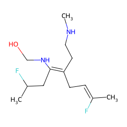 CNCC/C(C/C=C(/C)F)=C(/CC(C)F)NCO